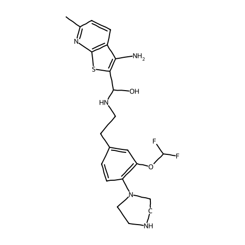 Cc1ccc2c(N)c(C(O)NCCc3ccc(N4CCNCC4)c(OC(F)F)c3)sc2n1